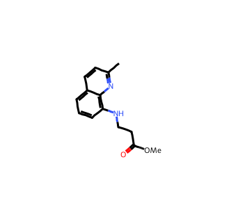 COC(=O)CCNc1cccc2ccc(C)nc12